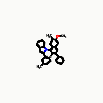 COc1cc2cc(-c3ccccc3)c(C)c(-n3c(-c4cccc(C)c4)cc4ccccc43)c2cc1C